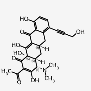 CC(=O)C1=C(O)[C@@H](N(C)C)[C@@H]2C[C@@H]3Cc4c(C#CCO)ccc(O)c4C(=O)C3=C(O)[C@]2(O)C1=O